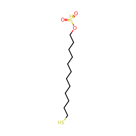 O=[SH](=O)OCCCCCCCCCCCCS